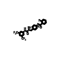 O=C(Nc1ccc(CN(S)C(=O)Nc2cc(C(F)(F)F)cc(C(F)(F)F)c2)cc1)c1ccccc1F